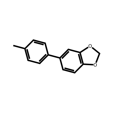 Cc1ccc(-c2ccc3c(c2)OCO3)cc1